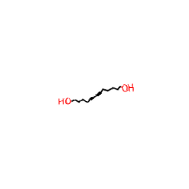 OCCCCCC#CC#CCCCCCO